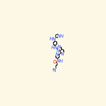 CN(C)C/C=C/C(=O)Nc1ccnc(-c2nccc3cnc(Nc4ccc(NC5CCNC5)cc4)nc23)c1